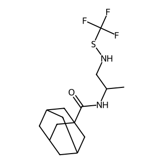 CC(CNSC(F)(F)F)NC(=O)C12CC3CC(CC(C3)C1)C2